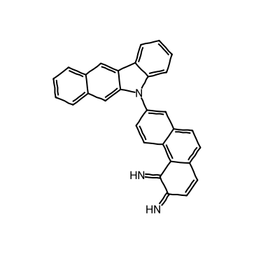 N=C1C=Cc2ccc3cc(-n4c5ccccc5c5cc6ccccc6cc54)ccc3c2C1=N